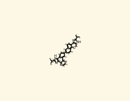 CC(C)c1nc2c([nH]1)COc1c-2ccc2cc(-c3ccc4c(c3)c3nccnc3c3nc(C(C)C)[nH]c43)ccc12